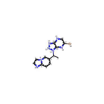 CC(c1ccc2nccn2c1)n1nnc2ncc(Br)nc21